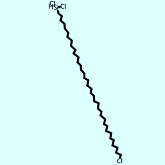 ClCCCCCCCCCCCCCCCCCCCCCCCCCCCCCCCCCCCCCC[SiH](Cl)Cl